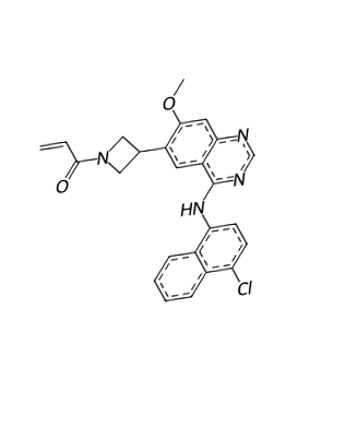 C=CC(=O)N1CC(c2cc3c(Nc4ccc(Cl)c5ccccc45)ncnc3cc2OC)C1